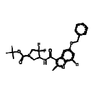 Cc1oc2c(Cl)cc(OCc3ccccc3)cc2c1C(=O)NC1CN(C(=O)OC(C)(C)C)CC1(F)F